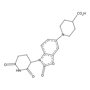 O=C1CCC(n2c(=O)oc3cc(N4CCC(C(=O)O)CC4)ccc32)C(=O)N1